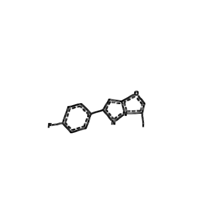 Cc1coc2cc(-c3ccc(F)cc3)nn12